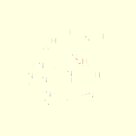 C=CC(O)Nc1cc(Nc2nccc(-n3ncc4cc(C#N)ccc43)n2)c(OC)cc1N(C)CCN(C)C